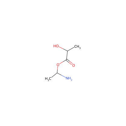 CC(N)OC(=O)C(C)O